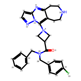 O=C(C1CN(c2c3c(nc4ccnn24)CCNCC3)C1)N(Cc1ccccc1)Cc1ccc(F)cc1